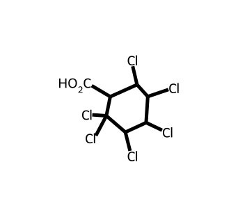 O=C(O)C1C(Cl)C(Cl)C(Cl)C(Cl)C1(Cl)Cl